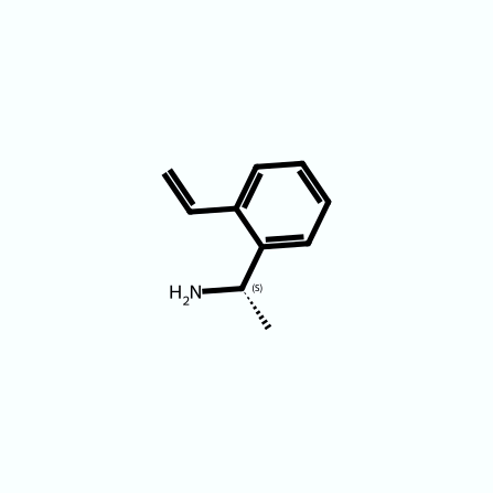 C=Cc1ccccc1[C@H](C)N